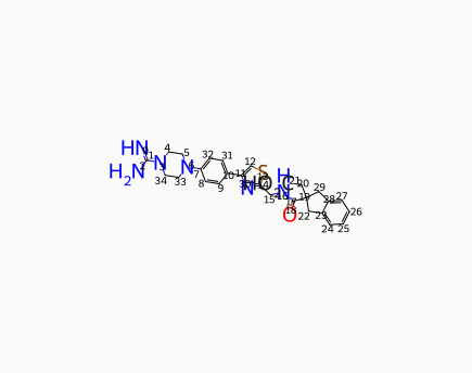 N=C(N)N1CCN(c2ccc(-c3csc(CNC(=O)C4(CC(=O)O)Cc5ccccc5C4)n3)cc2)CC1